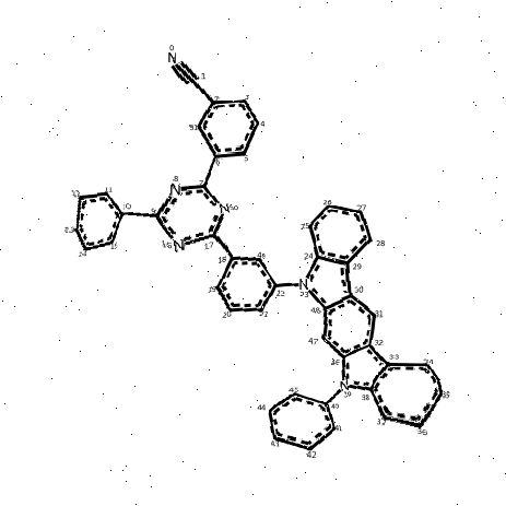 N#Cc1cccc(-c2nc(-c3ccccc3)nc(-c3cccc(-n4c5ccccc5c5cc6c7ccccc7n(-c7ccccc7)c6cc54)c3)n2)c1